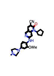 COc1cc(N2CCN(C)CC2)ccc1Nc1cc2c(cn1)cc(C#N)c(=O)n2C1CCCC1